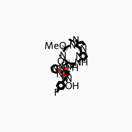 CO[C@H]1CN(C)C(=O)[C@@H]2C[C@@H](CN2c2nc(N3C4CC3CN(c3nccs3)C4)nc3c2cnn3-c2ccc(F)cc2O)Nc2cccc(n2)-c2nccc3nc(C)n(c23)C1